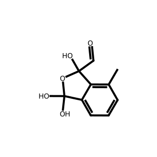 Cc1cccc2c1C(O)(C=O)OC2(O)O